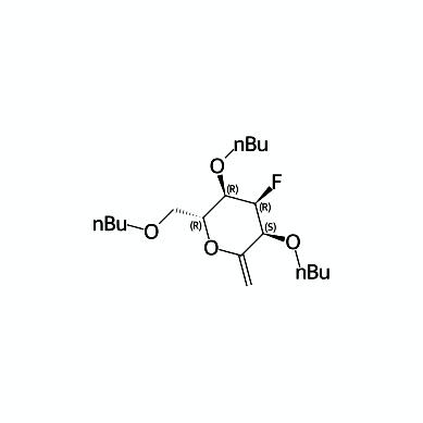 C=C1O[C@H](COCCCC)[C@@H](OCCCC)[C@@H](F)[C@H]1OCCCC